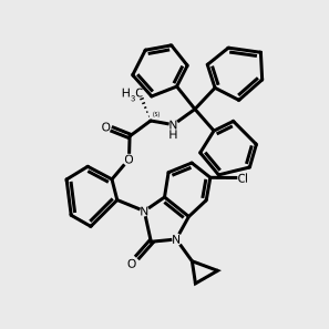 C[C@H](NC(c1ccccc1)(c1ccccc1)c1ccccc1)C(=O)Oc1ccccc1-n1c(=O)n(C2CC2)c2cc(Cl)ccc21